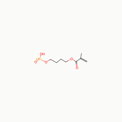 C=C(C)C(=O)OCCCCO[PH](=O)O